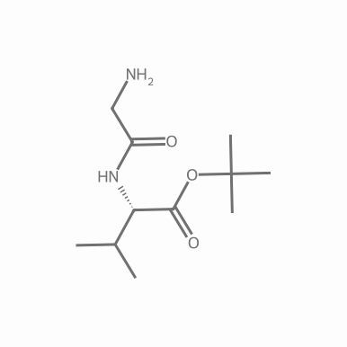 CC(C)[C@H](NC(=O)CN)C(=O)OC(C)(C)C